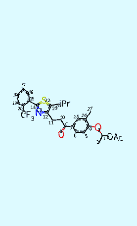 CC(=O)OC(C)Oc1ccc(C(=O)CCc2nc(-c3ccccc3C(F)(F)F)sc2C(C)C)cc1C